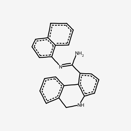 NC(=Nc1cccc2ccccc12)c1cccc2c1-c1ccccc1CN2